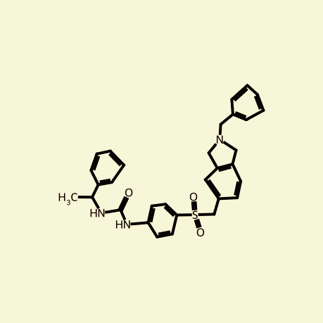 CC(NC(=O)Nc1ccc(S(=O)(=O)Cc2ccc3c(c2)CN(Cc2ccccc2)C3)cc1)c1ccccc1